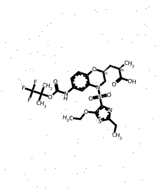 CCOc1sc(CC)nc1S(=O)(=O)N1C[C@H](C[C@@H](C)C(=O)O)Oc2ccc(NC(=O)OC(C)(C)C(F)(F)F)cc21